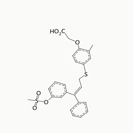 Cc1cc(SC/C=C(/c2ccccc2)c2cccc(OS(C)(=O)=O)c2)ccc1OCC(=O)O